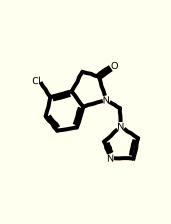 O=C1Cc2c(Cl)cccc2N1Cn1ccnc1